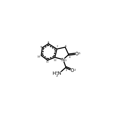 NC(=O)N1C(=O)Cc2ccccc21